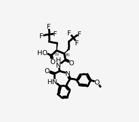 COc1ccc(C2=NC(NC(=O)[C@H](CCC(F)(F)F)[C@H](CCC(F)(F)F)C(=O)O)C(=O)Nc3ccccc32)cc1